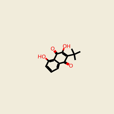 CC(C)(C)C1=C(O)C(=O)c2c(O)cccc2C1=O